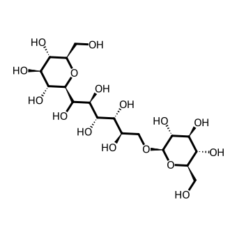 OC[C@H]1O[C@@H](C(O)[C@@H](O)[C@@H](O)[C@H](O)[C@H](O)CO[C@@H]2O[C@H](CO)[C@@H](O)[C@H](O)[C@H]2O)[C@H](O)[C@@H](O)[C@@H]1O